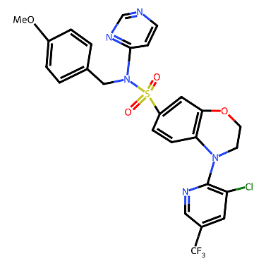 COc1ccc(CN(c2ccncn2)S(=O)(=O)c2ccc3c(c2)OCCN3c2ncc(C(F)(F)F)cc2Cl)cc1